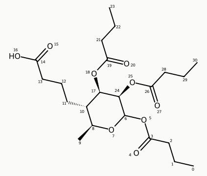 CCCC(=O)OC1O[C@@H](C)[C@H](CCCC(=O)O)[C@@H](OC(=O)CCC)[C@H]1OC(=O)CCC